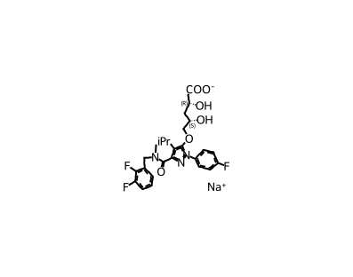 CC(C)c1c(C(=O)N(C)Cc2cccc(F)c2F)nn(-c2ccc(F)cc2)c1OC[C@@H](O)C[C@@H](O)CC(=O)[O-].[Na+]